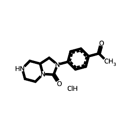 CC(=O)c1ccc(N2CC3CNCCN3C2=O)cc1.Cl